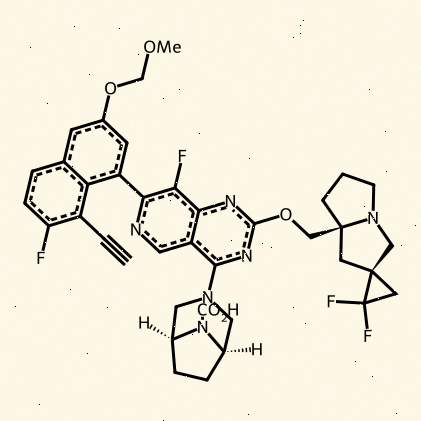 C#Cc1c(F)ccc2cc(OCOC)cc(-c3ncc4c(N5C[C@H]6CC[C@@H](C5)N6C(=O)O)nc(OC[C@@]56CCCN5C[C@]5(CC5(F)F)C6)nc4c3F)c12